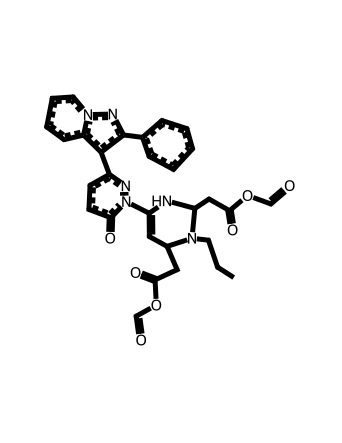 CCCN1C(CC(=O)OC=O)C=C(n2nc(-c3c(-c4ccccc4)nn4ccccc34)ccc2=O)NC1CC(=O)OC=O